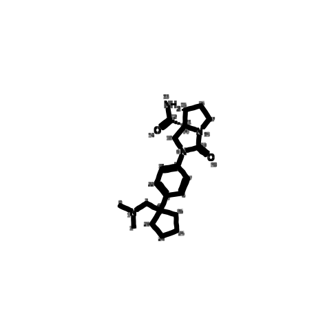 CN(C)CC1(c2ccc(N3C[C@@]4(C(N)=O)[CH]CCN4C3=O)cc2)CCCC1